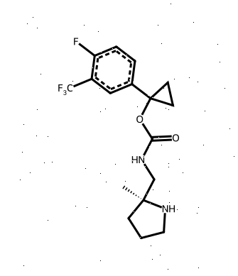 C[C@@]1(CNC(=O)OC2(c3ccc(F)c(C(F)(F)F)c3)CC2)CCCN1